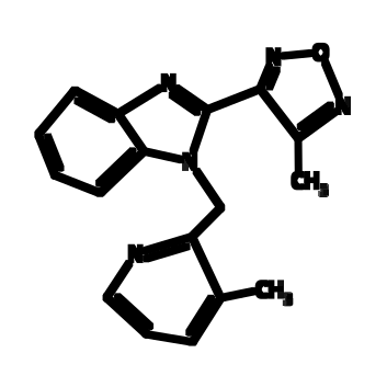 Cc1cccnc1Cn1c(-c2nonc2C)nc2ccccc21